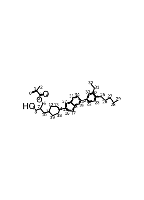 C=C(C)C(=O)OCC(CO)CC1CCC(c2ccc3cc(-c4ccc(CCCCC)c(CC)c4)ccc3c2)CC1